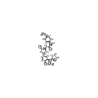 COc1ccc([C@@H]2CC(=O)N(CC(=O)N(C)c3ccc(C(C)C)cc3)C2)cc1OC1CCCO1